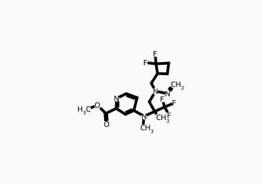 C=NN(CC1CCC1(F)F)CC(C)(N(C)c1ccnc(C(=O)OC)c1)C(F)(F)F